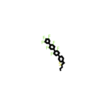 CCCc1cc2ccc(-c3cc(F)c(-c4cc(F)c(-c5cc(F)c(F)c(F)c5)c(F)c4)c(F)c3)cc2s1